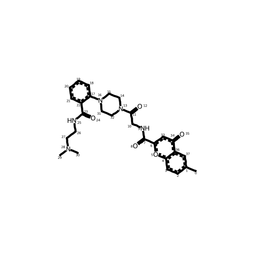 Cc1ccc2oc(C(=O)NCC(=O)N3CCN(c4ccccc4C(=O)NCCN(C)C)CC3)cc(=O)c2c1